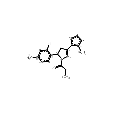 CCC(=O)N1N=C(c2sccc2C)CC1c1cnc(C)cc1Cl